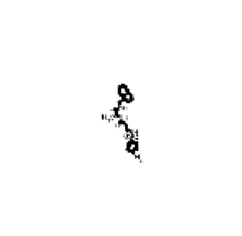 Cc1ccc(S(=O)(=O)NCCC(=O)N[C@@H](C)C(=O)NCc2cccc3ccccc23)cc1